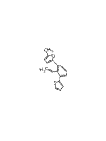 C=Cc1c(-c2ccc(C)o2)cccc1-c1cccs1